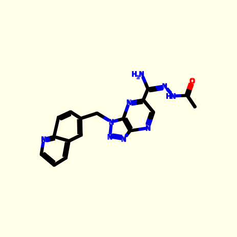 CC(=O)N/N=C(/N)c1cnc2nnn(Cc3ccc4ncccc4c3)c2n1